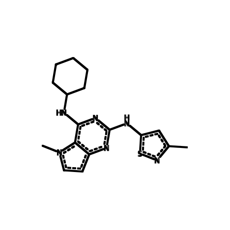 Cc1cc(Nc2nc(NC3CCCCC3)c3c(ccn3C)n2)sn1